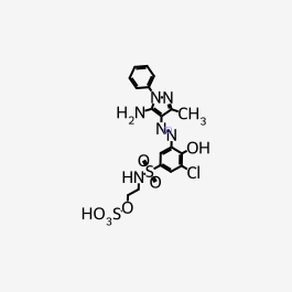 Cc1nn(-c2ccccc2)c(N)c1/N=N/c1cc(S(=O)(=O)NCCOS(=O)(=O)O)cc(Cl)c1O